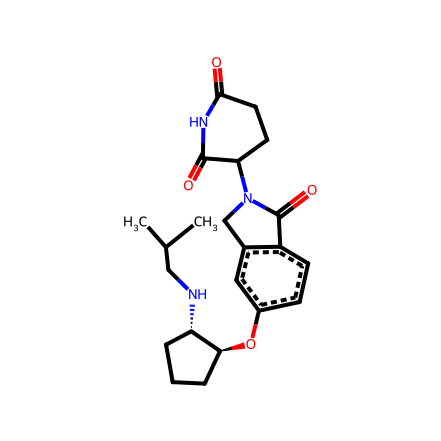 CC(C)CN[C@H]1CCC[C@@H]1Oc1ccc2c(c1)CN(C1CCC(=O)NC1=O)C2=O